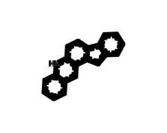 c1ccc2[nH]c3ccc4c5ccccc5cc4c3cc2c1